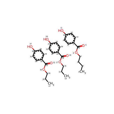 CCCCOC(=O)c1ccc(O)cc1.CCCOC(=O)c1ccc(O)cc1.CCCOC(=O)c1ccc(O)cc1